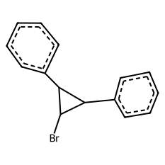 BrC1C(c2ccccc2)C1c1ccccc1